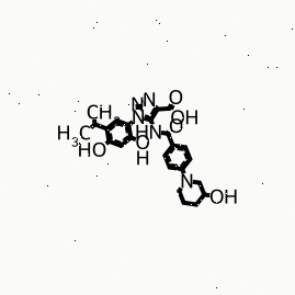 CC(C)c1cc(-n2nnc(C(=O)O)c2NC(=O)c2ccc(N3CCCC(O)C3)cc2)c(O)cc1O